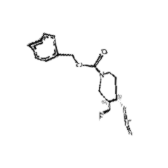 [N-]=[N+]=N[C@H]1CN(C(=O)OCc2ccccc2)C[C@@H]1F